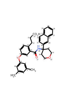 Cc1cc(C)cc(Oc2ccc(CCC(=O)O)c(C(=O)NC3(c4ccc5ccccc5c4)CCOCC3)c2)c1